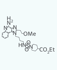 CCOC(=O)C1CCN(S(=O)(=O)NCCCCn2c(CCOC)nc3c(N)nc4ccccc4c32)CC1